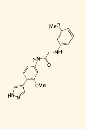 COc1cccc(NCC(=O)Nc2ccc(-c3cn[nH]c3)c(OC)c2)c1